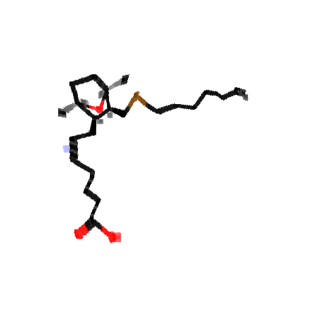 CCCCCCSC[C@H]1[C@@H](C/C=C\CCCC(=O)O)[C@H]2CC[C@@H]1O2